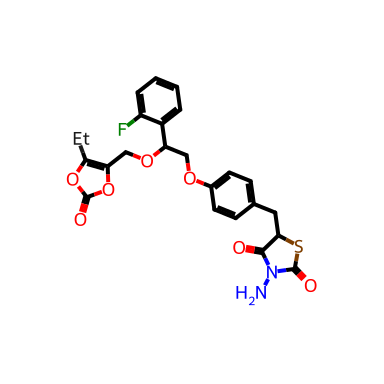 CCc1oc(=O)oc1COC(COc1ccc(CC2SC(=O)N(N)C2=O)cc1)c1ccccc1F